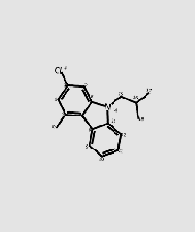 Cc1cc(Cl)cc2c1c1ccccc1n2CC(C)C